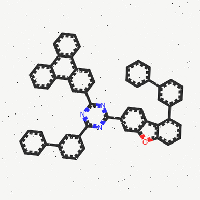 c1ccc(-c2cccc(-c3nc(-c4ccc5c(c4)oc4cccc(-c6cccc(-c7ccccc7)c6)c45)nc(-c4ccc5c6ccccc6c6ccccc6c5c4)n3)c2)cc1